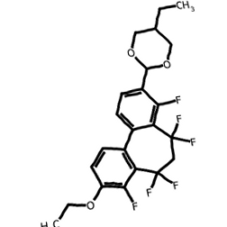 CCOc1ccc2c(c1F)C(F)(F)CC(F)(F)c1c-2ccc(C2OCC(CC)CO2)c1F